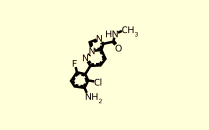 CNC(=O)c1ncn2nc(-c3c(F)ccc(N)c3Cl)ccc12